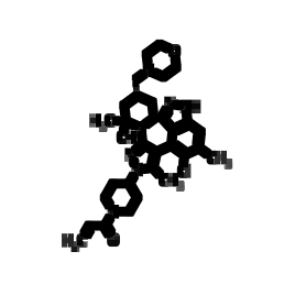 C=CC(=O)N1CCC(n2nc(N3CC[C@@H](CN4CCOCC4)CC3(C)C)c(-c3c(Cl)c(C)cc4[nH]ncc34)c2C)CC1